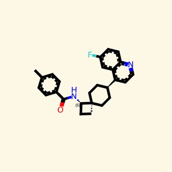 Cc1ccc(C(=O)N[C@H]2CC[C@]23CC[C@H](c2ccnc4ccc(F)cc42)CC3)cc1